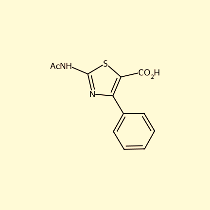 CC(=O)Nc1nc(-c2ccccc2)c(C(=O)O)s1